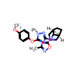 Cc1noc(N2C[C@H]3CC[C@@H](C2)C3Nc2nc(Oc3ccc(OC(F)(F)F)cc3)n(C(C)C)n2)n1